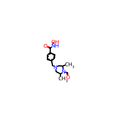 CC1CN(Cc2ccc(C(=O)NO)cc2)CC(C)N1C=O